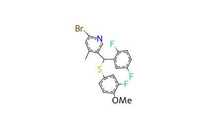 COc1ccc(SC(c2cnc(Br)cc2C)c2cc(F)ccc2F)cc1F